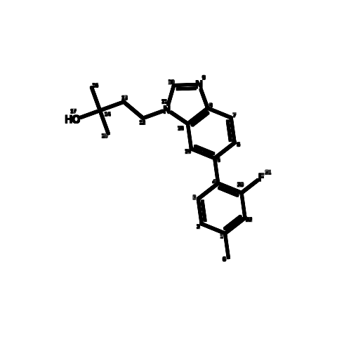 Cc1ccc(-c2ccc3ncn(CCC(C)(C)O)c3c2)c(F)c1